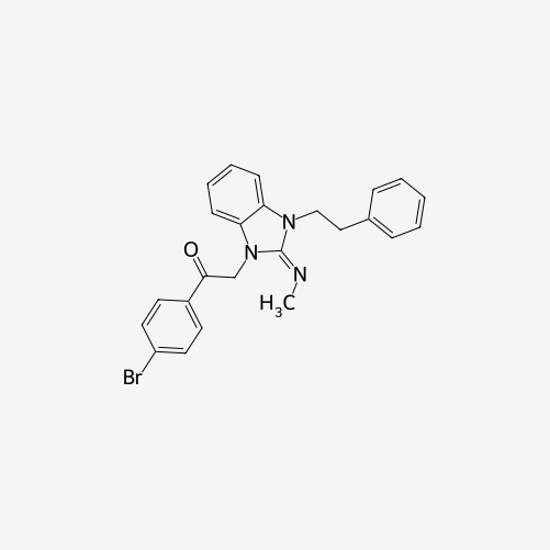 CN=c1n(CCc2ccccc2)c2ccccc2n1CC(=O)c1ccc(Br)cc1